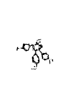 COc1ccc(-c2cc(=O)n(Cc3ccc(F)cc3)nc2-c2ccc(OC)cc2)cc1